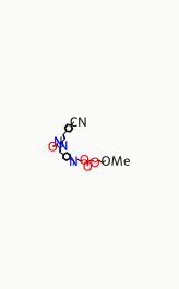 COCCOCC(=O)OCCN(C)c1ccc(/C=C2N=C(/C=C/c3ccc(C#N)cc3)N(C)C\2=O)cc1